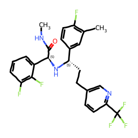 CNC(=O)[C@@H](N[C@@H](CCc1ccc(C(F)(F)F)nc1)c1ccc(F)c(C)c1)c1cccc(F)c1F